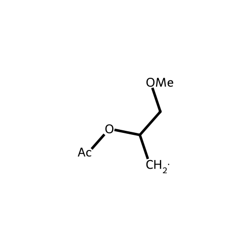 [CH2]C(COC)OC(C)=O